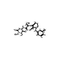 CCC(C(=O)NC(CC(=O)OC(C)(C)C)C(=O)CF)c1ccnn(Cc2cccc(Br)c2)c1=O